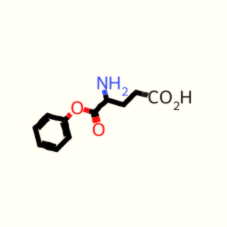 NC(CCC(=O)O)C(=O)Oc1ccccc1